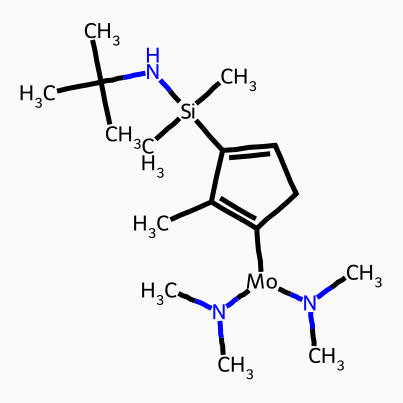 CC1=[C]([Mo]([N](C)C)[N](C)C)CC=C1[Si](C)(C)NC(C)(C)C